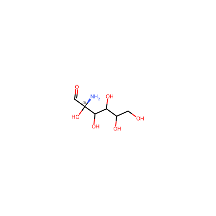 N[C@@](O)(C=O)C(O)C(O)C(O)CO